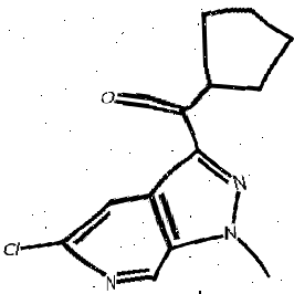 Cn1nc(C(=O)C2CCCC2)c2cc(Cl)ncc21